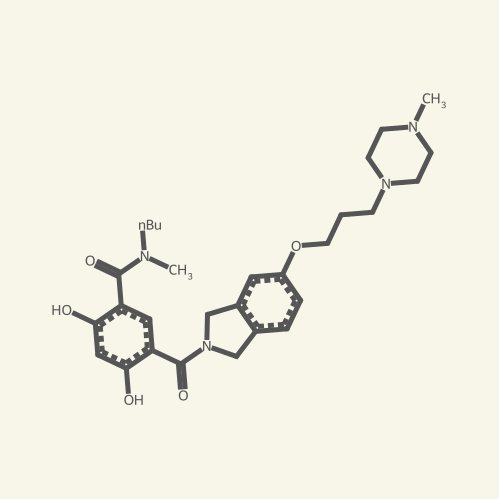 CCCCN(C)C(=O)c1cc(C(=O)N2Cc3ccc(OCCCN4CCN(C)CC4)cc3C2)c(O)cc1O